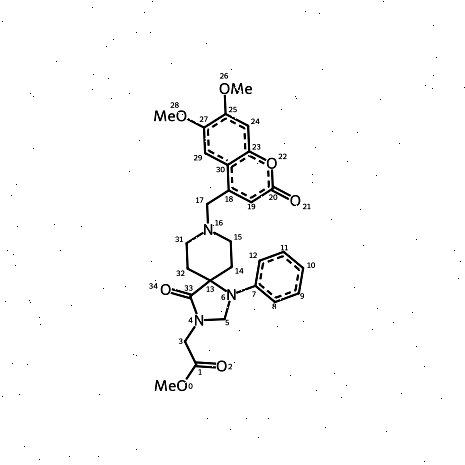 COC(=O)CN1CN(c2ccccc2)C2(CCN(Cc3cc(=O)oc4cc(OC)c(OC)cc34)CC2)C1=O